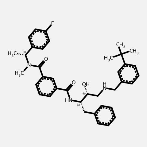 C[C@H](c1ccc(F)cc1)N(C)C(=O)c1cccc(C(=O)N[C@@H](Cc2ccccc2)[C@H](O)CNCc2cccc(C(C)(C)C)c2)c1